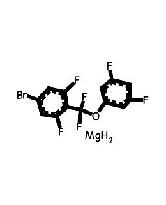 Fc1cc(F)cc(OC(F)(F)c2c(F)cc(Br)cc2F)c1.[MgH2]